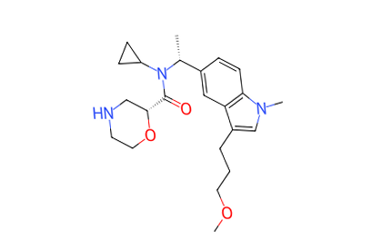 COCCCc1cn(C)c2ccc([C@@H](C)N(C(=O)[C@H]3CNCCO3)C3CC3)cc12